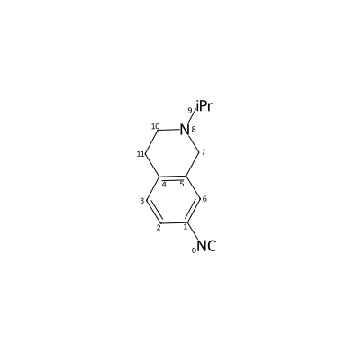 [C-]#[N+]c1ccc2c(c1)CN(C(C)C)CC2